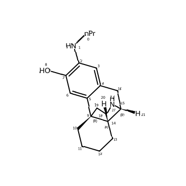 CCCNc1cc2c(cc1O)[C@@]13CCCC[C@H]1[C@@H](C2)NCC3